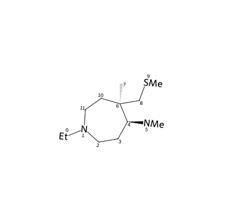 CCN1CC[C@H](NC)[C@](C)(CSC)CC1